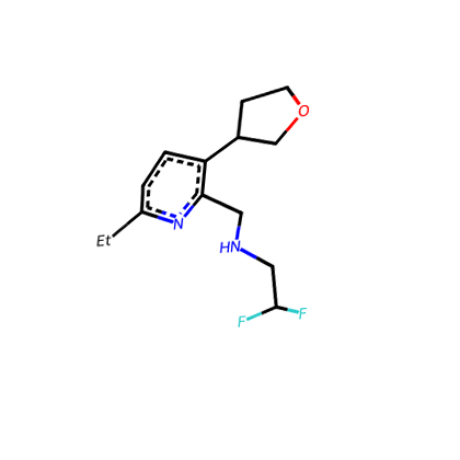 CCc1ccc(C2CCOC2)c(CNCC(F)F)n1